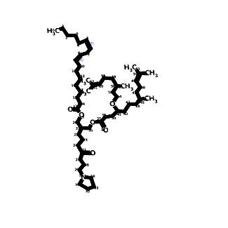 CCCCC/C=C\C/C=C\CCCCCCCC(=O)OCC(CCCC(=O)CCCN1CCCC1)COC(=O)CCC(CCCC(C)CCC=C(C)C)OCCC(C)CCC=C(C)C